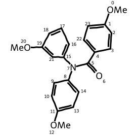 COc1ccc(C(=O)N(c2ccc(OC)cc2)c2cccc(OC)c2)cc1